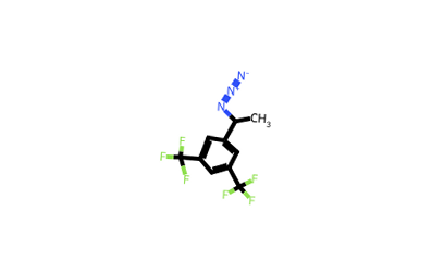 CC(N=[N+]=[N-])c1cc(C(F)(F)F)cc(C(F)(F)F)c1